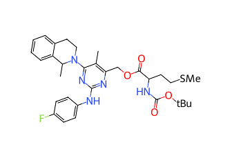 CSCCC(NC(=O)OC(C)(C)C)C(=O)OCc1nc(Nc2ccc(F)cc2)nc(N2CCc3ccccc3C2C)c1C